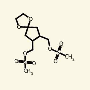 CS(=O)(=O)OCC1CC2(CC1COS(C)(=O)=O)OCCO2